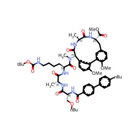 CCCCOC[C@@H](NC(=O)c1ccc(-c2ccc(CCCC)cc2)cc1)C(=O)N[C@H](C)C(=O)N[C@@H](CCCCNC(=O)OC(C)(C)C)C(=O)N(C)[C@@H]1C(=O)N[C@@H](C)C(=O)N[C@H](C(=O)OC)Cc2ccc(OC)c(c2)-c2cc1ccc2OC